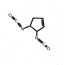 O=C=NC1C=CCC1N=C=O